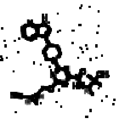 C[C@@H](NC(=O)c1nc(OC[C@H]2C[C@H]2C#N)nc(N2CCC(c3c[nH]c4ncccc34)CC2)n1)C(C)(C)O